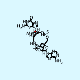 CO[C@H]1[C@H]2O[PH](=S)OC[C@]34C[C@@]5(O[C@H](C35)[C@H](n3cnc5c(N)ncnc53)O4)S(=O)(=O)NC[C@H]1O[C@H]2n1cnc2c(=O)[nH]c(N)nc21